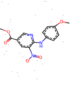 COC(=O)c1cnc(Nc2ccc(OC)cc2)c([N+](=O)[O-])c1